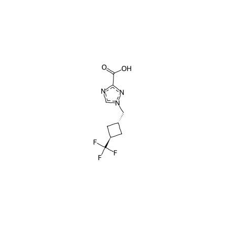 O=C(O)c1ncn(C[C@H]2C[C@H](C(F)(F)F)C2)n1